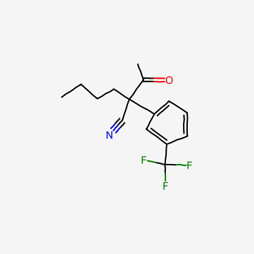 CCCCC(C#N)(C(C)=O)c1cccc(C(F)(F)F)c1